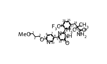 COCCCOc1ccc(-c2cc(=O)[nH]c(-c3cc(CC(C)(C)C(N)=O)ccc3C(F)(F)F)n2)cn1